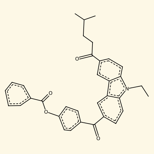 CCn1c2ccc(C(=O)CCC(C)C)cc2c2cc(C(=O)c3ccc(OC(=O)c4ccccc4)cc3)ccc21